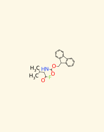 CC(C)[C@H](NC(=O)OCC1c2ccccc2-c2ccccc21)C(=O)F